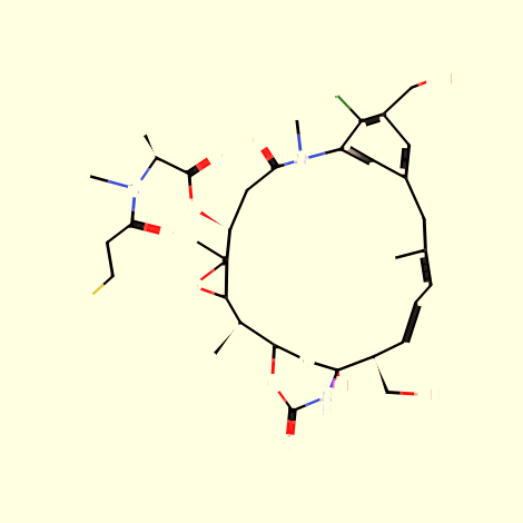 C/C1=C\C=C\[C@@H](CO)[C@@]2(O)CC(OC(=O)N2)[C@@H](C)C2OC2(C)[C@@H](OC(=O)[C@H](C)N(C)C(=O)CCS)CC(=O)N(C)c2cc(cc(CO)c2Cl)C1